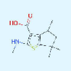 CNc1sc2c(c1C(=O)O)C(C)CC2(C)C